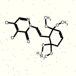 COC1(OC)C=CCC(OC)(OC)C1C=Cn1ncc(Cl)c(Cl)c1=O